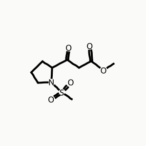 COC(=O)CC(=O)C1CCCN1S(C)(=O)=O